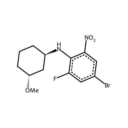 CO[C@@H]1CCC[C@@H](Nc2c(F)cc(Br)cc2[N+](=O)[O-])C1